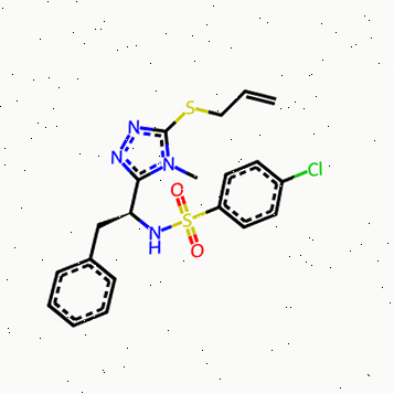 C=CCSc1nnc([C@H](Cc2ccccc2)NS(=O)(=O)c2ccc(Cl)cc2)n1C